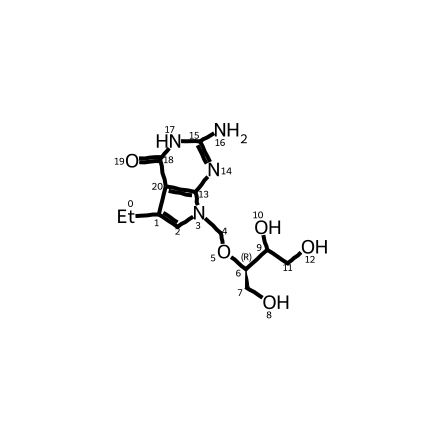 CCc1cn(CO[C@H](CO)C(O)CO)c2nc(N)[nH]c(=O)c12